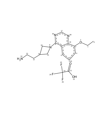 CCOc1cccc2c(N3CC(CCN)C3)ncnc12.O=C(O)C(F)(F)F